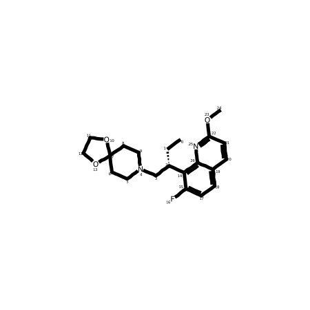 C[CH][C@@H]([CH]N1CCC2(CC1)OCCO2)c1c(F)ccc2ccc(OC)nc12